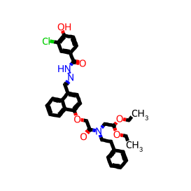 CCOC(CN(CCc1ccccc1)C(=O)COc1ccc(/C=N/NC(=O)c2ccc(O)c(Cl)c2)c2ccccc12)OCC